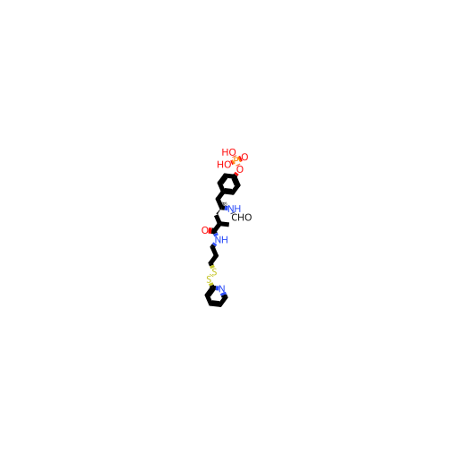 CC(C[C@H](Cc1ccc(OP(=O)(O)O)cc1)NC=O)C(=O)NCCCSSc1ccccn1